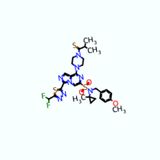 COc1ccc(CN(C2(C)CC2)S(=O)(=O)c2cn3c(-c4nnc(C(F)F)s4)ncc3c(N3CCN(C(=S)C(C)C)CC3)n2)cc1